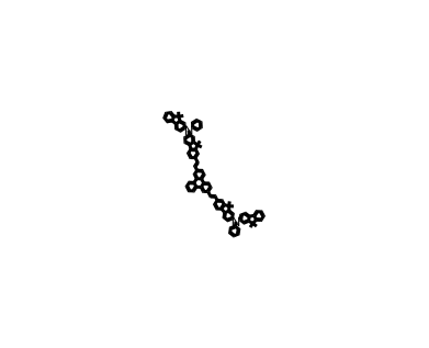 CC1(C)c2ccccc2-c2ccc(N(c3ccccc3)c3ccc4c(c3)C(C)(C)c3cc(/C=C/c5ccc6c7ccc(/C=C/c8ccc9c(c8)C(C)(C)c8cc(N(c%10ccccc%10)c%10ccc%11c(c%10)C(C)(C)c%10ccccc%10-%11)ccc8-9)cc7c7ccccc7c6c5)ccc3-4)cc21